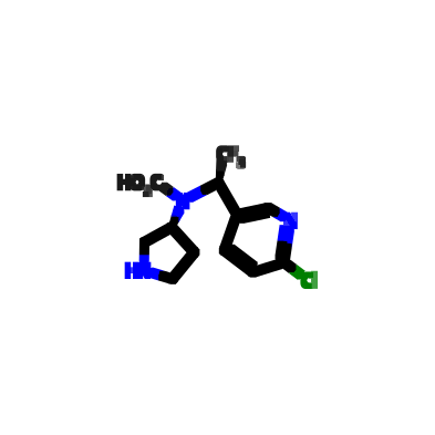 O=C(O)N([C@H]1CCNC1)[C@H](c1ccc(Cl)nc1)C(F)(F)F